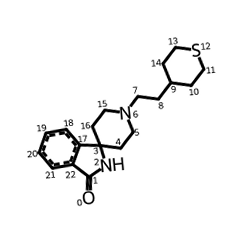 O=C1NC2(CCN(CCC3CCSCC3)CC2)c2ccccc21